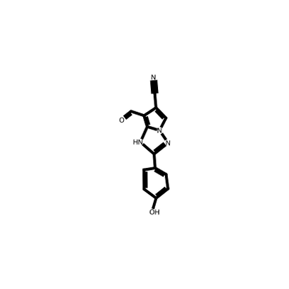 N#Cc1cn2nc(-c3ccc(O)cc3)[nH]c2c1C=O